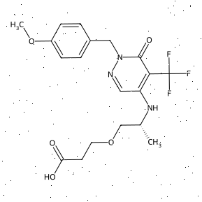 COc1ccc(Cn2ncc(N[C@H](C)COCCC(=O)O)c(C(F)(F)F)c2=O)cc1